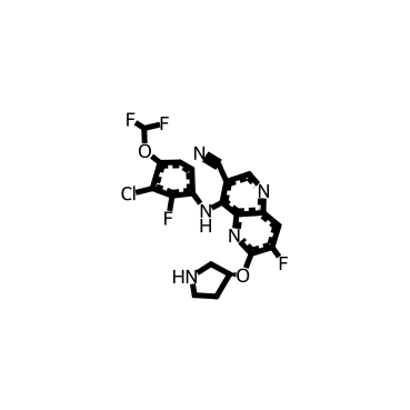 N#Cc1cnc2cc(F)c(O[C@H]3CCNC3)nc2c1Nc1ccc(OC(F)F)c(Cl)c1F